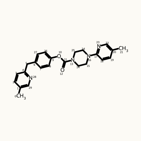 Cc1ccc(Cc2ccc(OC(=O)N3CCN(c4ccc(C)cn4)CC3)cc2)nc1